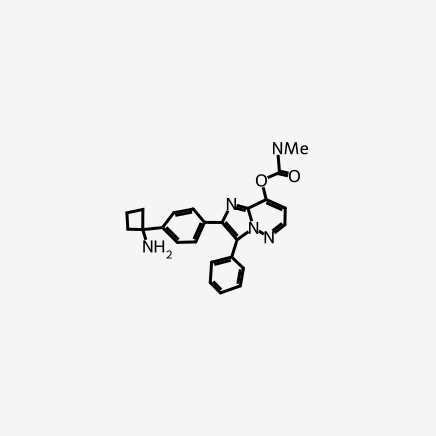 CNC(=O)Oc1ccnn2c(-c3ccccc3)c(-c3ccc(C4(N)CCC4)cc3)nc12